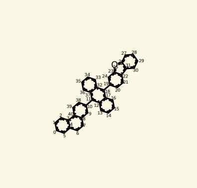 c1ccc2c(c1)ccc1cc(-c3c4ccccc4c(-c4ccc5c(c4)oc4ccccc45)c4ccccc34)ccc12